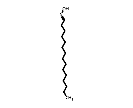 CCCCCCCCCCCCCCC=NO